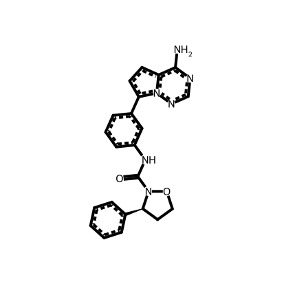 Nc1ncnn2c(-c3cccc(NC(=O)N4OCC[C@H]4c4ccccc4)c3)ccc12